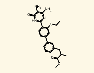 CCOc1cc(-c2cccc(CC(C)C(=O)OC)c2)ccc1-c1nc(N)c(N)c(=O)[nH]1